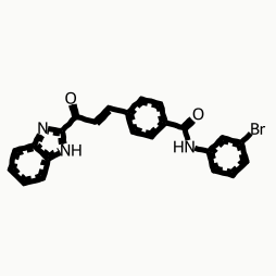 O=C(Nc1cccc(Br)c1)c1ccc(C=CC(=O)c2nc3ccccc3[nH]2)cc1